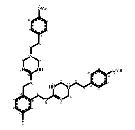 COc1ccc(CCN2CN=C(SCc3ccc(F)cc3CSC3=NCN(CCc4ccc(OC)cc4)CN3)NC2)cc1